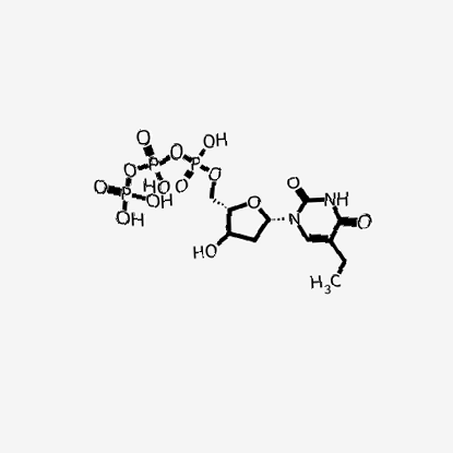 CCc1cn([C@@H]2CC(O)[C@H](COP(=O)(O)OP(=O)(O)OP(=O)(O)O)O2)c(=O)[nH]c1=O